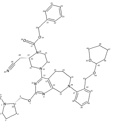 CN1CCC[C@H]1COc1nc2c(c(N3CCN(C(=O)OCc4ccccc4)[C@@H](CC#N)C3)n1)CCCN(c1ccccc1COC1CCCCO1)C2